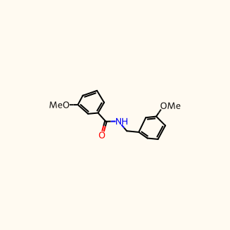 COc1cccc(CNC(=O)c2cccc(OC)c2)c1